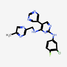 Cc1cnc(CNc2nc(Nc3ccc(F)c(Cl)c3)ncc2-c2cncnc2)cn1